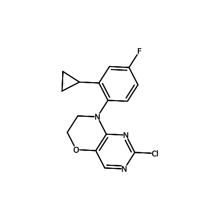 Fc1ccc(N2CCOc3cnc(Cl)nc32)c(C2CC2)c1